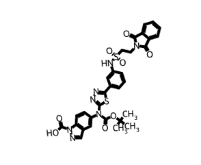 CC(C)(C)OC(=O)N(c1ccc2c(cnn2C(=O)O)c1)c1nnc(-c2cccc(NS(=O)(=O)CCN3C(=O)c4ccccc4C3=O)c2)s1